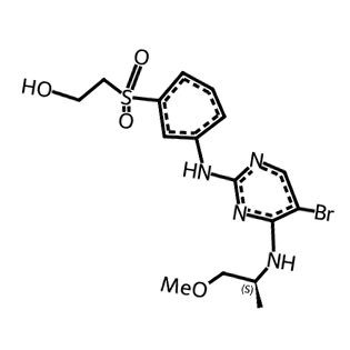 COC[C@H](C)Nc1nc(Nc2cccc(S(=O)(=O)CCO)c2)ncc1Br